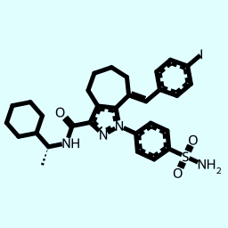 C[C@@H](NC(=O)c1nn(-c2ccc(S(N)(=O)=O)cc2)c2c1CCCC/C2=C\c1ccc(I)cc1)C1CCCCC1